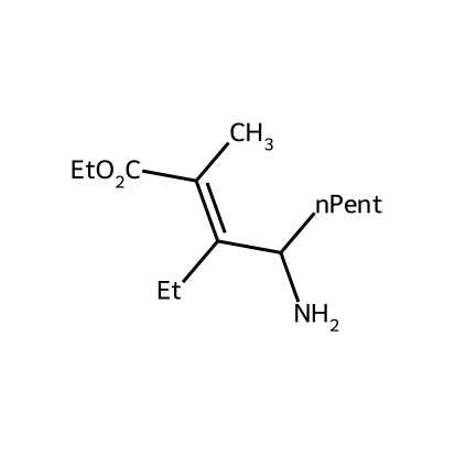 CCCCCC(N)C(CC)=C(C)C(=O)OCC